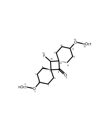 CCCCCCCCOC1CC[C@]2(CC1)C(=O)[C@@]1(CCC(OCCCCCCCC)CC1)C2F